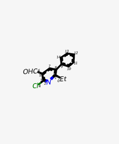 CCc1nc(Cl)c(C=O)cc1-c1ccccc1